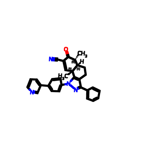 C[C@H]1C(=O)C(C#N)=C[C@@]2(C)c3c(c(-c4ccccc4)nn3-c3ccc(-c4cccnc4)cc3)CC[C@H]12